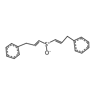 [O-][S+](C=CCc1ccccc1)C=CCc1ccccc1